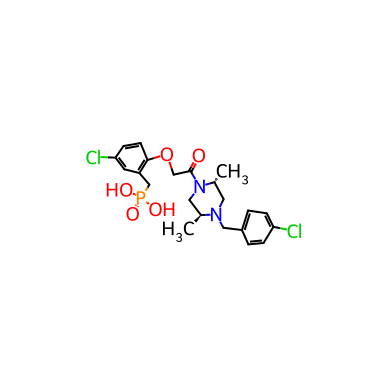 C[C@@H]1CN(Cc2ccc(Cl)cc2)[C@@H](C)CN1C(=O)COc1ccc(Cl)cc1CP(=O)(O)O